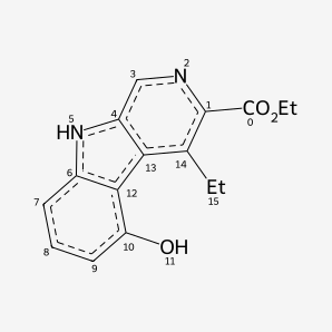 CCOC(=O)c1ncc2[nH]c3cccc(O)c3c2c1CC